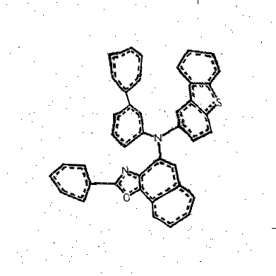 c1ccc(-c2cccc(N(c3ccc4sc5ccccc5c4c3)c3cc4ccccc4c4oc(-c5ccccc5)nc34)c2)cc1